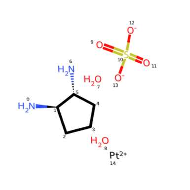 N[C@@H]1CCC[C@H]1N.O.O.O=S(=O)([O-])[O-].[Pt+2]